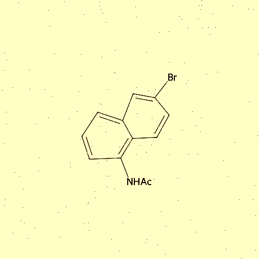 CC(=O)Nc1cccc2cc(Br)ccc12